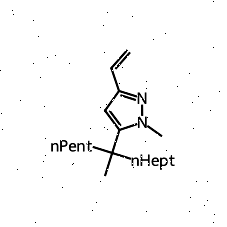 C=Cc1cc(C(C)(CCCCC)CCCCCCC)n(C)n1